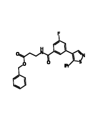 CC(C)c1sncc1-c1cc(F)cc(C(=O)NCCC(=O)OCc2ccccc2)c1